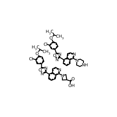 CC(C)Oc1ccc(-c2nc(-c3cccc4c(N5CC(C(=O)O)C5)nccc34)no2)cc1Cl.CC(C)Oc1ccc(-c2nc(-c3cccc4c(N5CCNCC5)nccc34)no2)cc1Cl